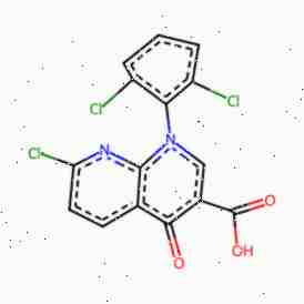 O=C(O)c1cn(-c2c(Cl)cccc2Cl)c2nc(Cl)ccc2c1=O